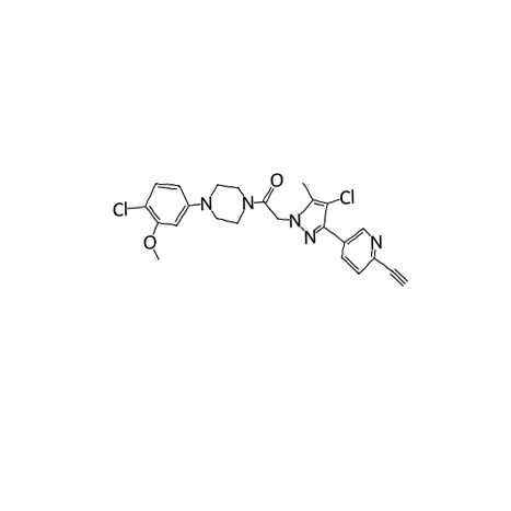 C#Cc1ccc(-c2nn(CC(=O)N3CCN(c4ccc(Cl)c(OC)c4)CC3)c(C)c2Cl)cn1